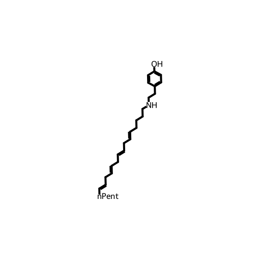 CCCCCC=CCC=CCC=CCC=CCCCCNCCc1ccc(O)cc1